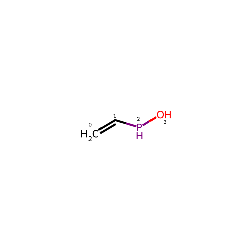 C=CPO